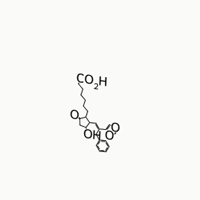 O=C(O)CCCCCCC1C(=O)CC(O)C1/C=C(\Cc1ccccc1)C1=COCO1